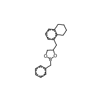 c1ccc(CB2OCC(Cc3cccc4c3CCCC4)O2)cc1